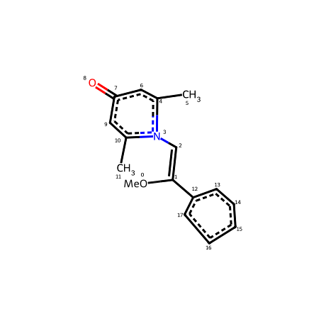 COC(=Cn1c(C)cc(=O)cc1C)c1ccccc1